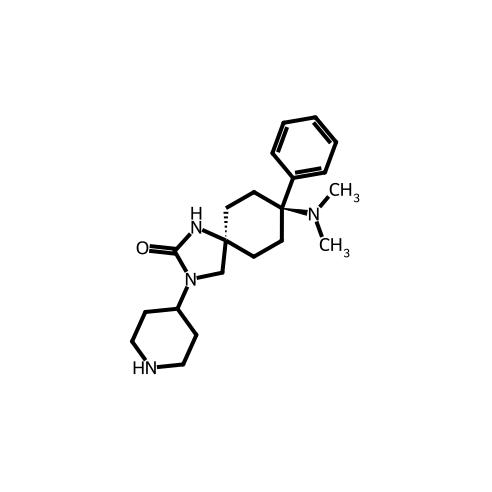 CN(C)[C@]1(c2ccccc2)CC[C@]2(CC1)CN(C1CCNCC1)C(=O)N2